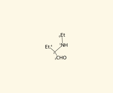 CCNC(C=O)CC